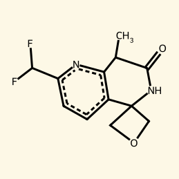 CC1C(=O)NC2(COC2)c2ccc(C(F)F)nc21